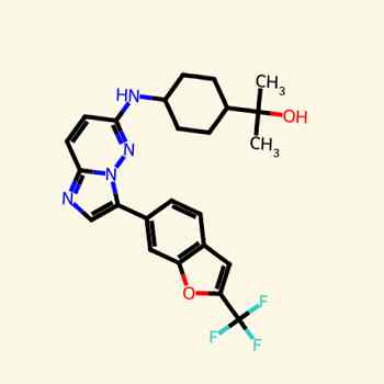 CC(C)(O)C1CCC(Nc2ccc3ncc(-c4ccc5cc(C(F)(F)F)oc5c4)n3n2)CC1